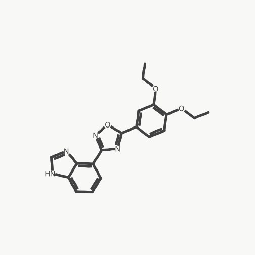 CCOc1ccc(-c2nc(-c3cccc4[nH]cnc34)no2)cc1OCC